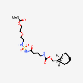 CNC(=O)OCCOCCNS(=O)(=O)NC(=O)CCCNC(=O)OC[C@@H]1[C@@H]2CCC#CCC[C@@H]21